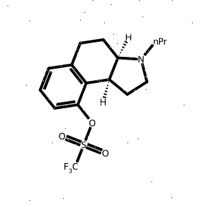 CCCN1CC[C@H]2c3c(cccc3OS(=O)(=O)C(F)(F)F)CC[C@H]21